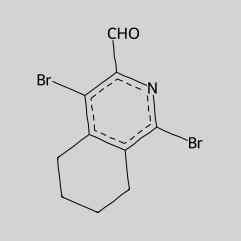 O=Cc1nc(Br)c2c(c1Br)CCCC2